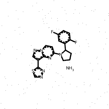 Fc1ccc(F)c(C2CCCN2c2ccn3ncc(-c4nncs4)c3n2)c1.N